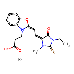 CCN1C(=O)C(=CC=C2Oc3ccccc3N2CCC(=O)O)N(C)C1=S.[K]